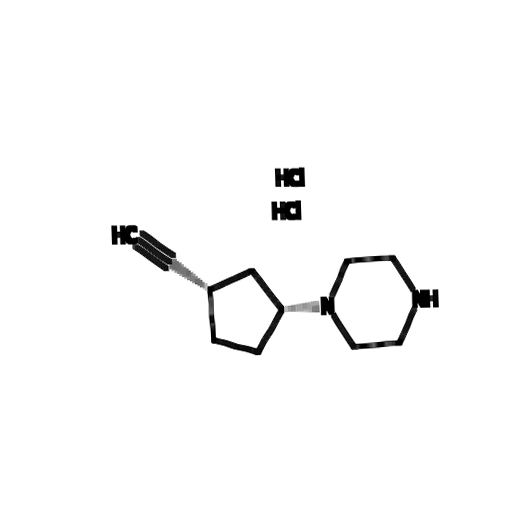 C#C[C@H]1CC[C@@H](N2CCNCC2)C1.Cl.Cl